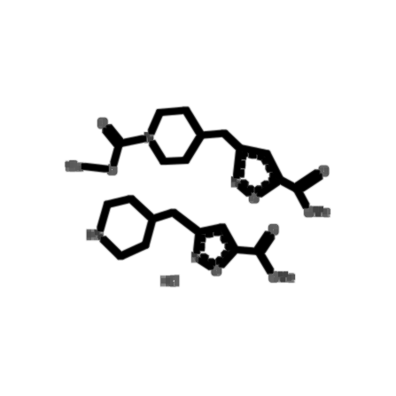 COC(=O)c1cc(CC2CCN(C(=O)OC(C)(C)C)CC2)no1.COC(=O)c1cc(CC2CCNCC2)no1.Cl